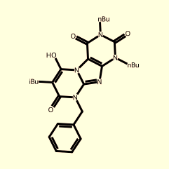 CCCCn1c(=O)c2c(nc3n(Cc4ccccc4)c(=O)c(C(C)CC)c(O)n23)n(CCCC)c1=O